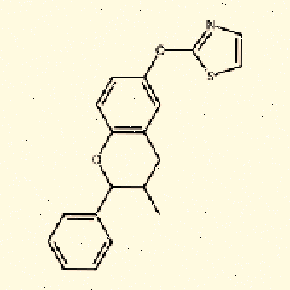 CC1Cc2cc(Oc3nccs3)ccc2OC1c1ccccc1